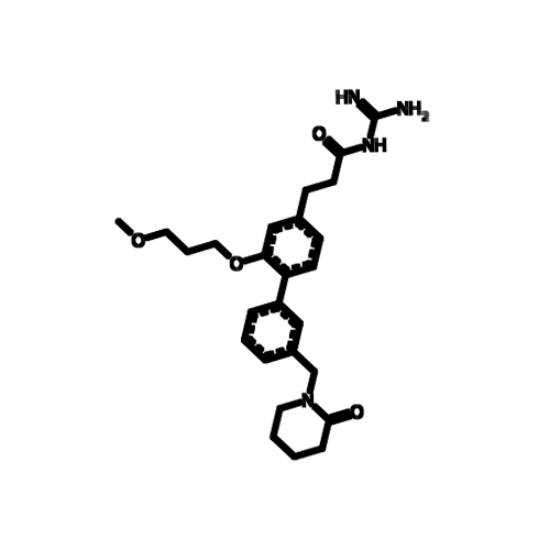 COCCCOc1cc(CCC(=O)NC(=N)N)ccc1-c1cccc(CN2CCCCC2=O)c1